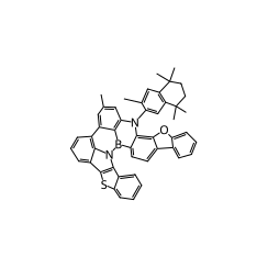 Cc1cc2c3c(c1)N(c1cc4c(cc1C)C(C)(C)CCC4(C)C)c1c(ccc4c1oc1ccccc14)B3n1c3c-2cccc3c2sc3ccccc3c21